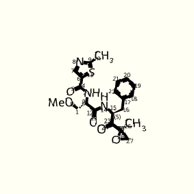 COC[C@H](NC(=O)c1cnc(C)s1)C(=O)N[C@@H](Cc1ccccc1)C(=O)[C@@]1(C)CO1